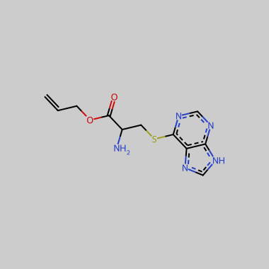 C=CCOC(=O)C(N)CSc1ncnc2[nH]cnc12